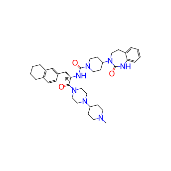 CN1CCC(N2CCN(C(=O)[C@@H](Cc3ccc4c(c3)CCCC4)NC(=O)N3CCC(N4CCc5ccccc5NC4=O)CC3)CC2)CC1